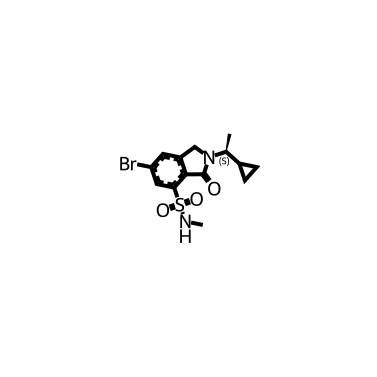 CNS(=O)(=O)c1cc(Br)cc2c1C(=O)N([C@@H](C)C1CC1)C2